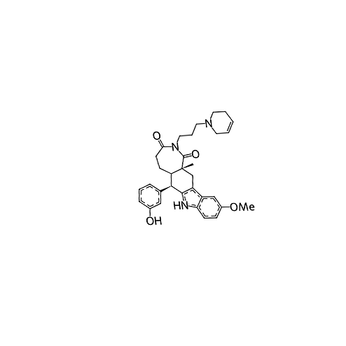 COc1ccc2[nH]c3c(c2c1)C[C@@]1(C)C(=O)N(CCCN2CC=CCC2)C(=O)CCC1[C@@H]3c1cccc(O)c1